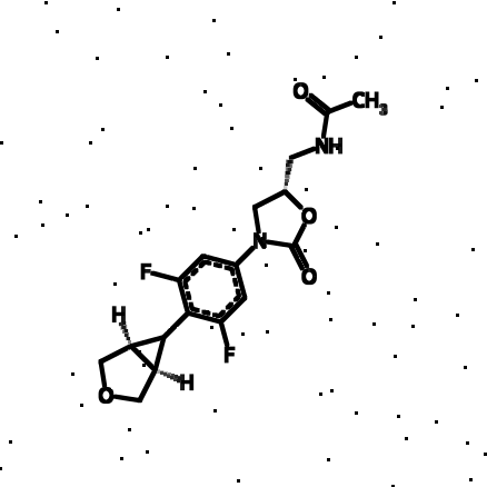 CC(=O)NC[C@H]1CN(c2cc(F)c(C3[C@H]4COC[C@@H]34)c(F)c2)C(=O)O1